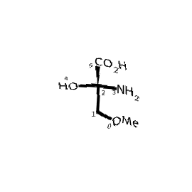 COC[C@@](N)(O)C(=O)O